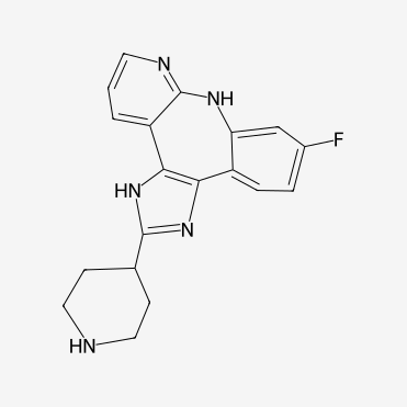 Fc1ccc2c(c1)Nc1ncccc1-c1[nH]c(C3CCNCC3)nc1-2